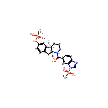 O=C(c1ccc2ncn(S(=O)(=O)C(F)(F)F)c2c1)N1CCC[C@@H]2c3cc(OS(=O)(=O)C(F)(F)F)ccc3C[C@@H]21